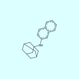 c1ccc2cc(NC34CC5CC(CC(C5)C3)C4)ccc2c1